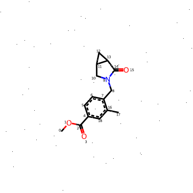 COC(=O)c1ccc(CN2CC3CC3C2=O)c(C)c1